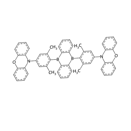 Cc1cc(N2c3ccccc3Oc3ccccc32)cc(C)c1B1c2ccccc2B(c2c(C)cc(N3c4ccccc4Oc4ccccc43)cc2C)c2ccccc21